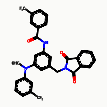 O=CN(c1cc(CN2C(=O)c3ccccc3C2=O)cc(NC(=O)c2cccc(C(F)(F)F)c2)c1)c1cccc(C(F)(F)F)c1